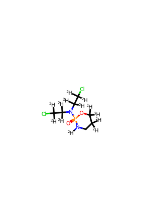 [2H]N1CC([2H])([2H])C([2H])([2H])OP1(=O)N(C([2H])([2H])C([2H])([2H])Cl)C([2H])([2H])C([2H])([2H])Cl